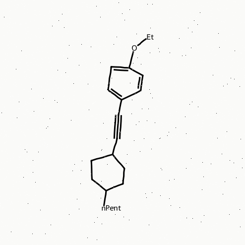 CCCCCC1CCC(C#Cc2ccc(OCC)cc2)CC1